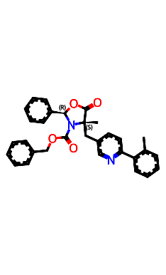 Cc1ccccc1-c1ccc(C[C@@]2(C)C(=O)O[C@H](c3ccccc3)N2C(=O)OCc2ccccc2)cn1